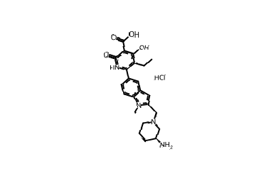 CCc1c(-c2ccc3c(c2)cc(CN2CCC[C@H](N)C2)n3C)[nH]c(=O)c(C(=O)O)c1O.Cl